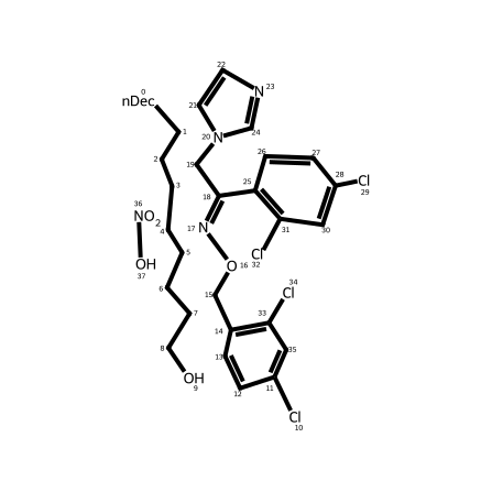 CCCCCCCCCCCCCCCCCCO.Clc1ccc(CON=C(Cn2ccnc2)c2ccc(Cl)cc2Cl)c(Cl)c1.O=[N+]([O-])O